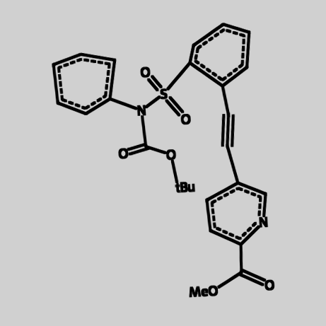 COC(=O)c1ccc(C#Cc2ccccc2S(=O)(=O)N(C(=O)OC(C)(C)C)c2ccccc2)cn1